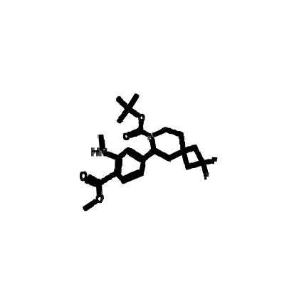 CNc1cc(C2CC3(CCN2C(=O)OC(C)(C)C)CC(F)(F)C3)ccc1C(=O)OC